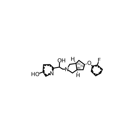 Oc1ccc(C(O)CN2C[C@H]3C[C@H](Oc4ccccc4F)C[C@H]3C2)nc1